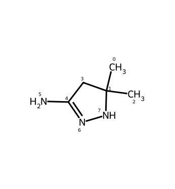 CC1(C)CC(N)=NN1